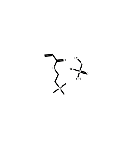 C=CC(=O)OCC[N+](C)(C)C.CCOP(=O)(O)O